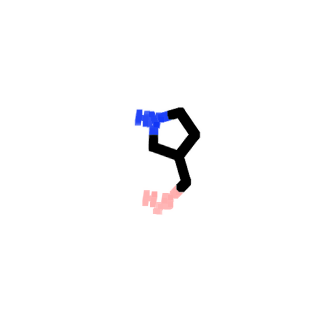 BCC1CCNC1